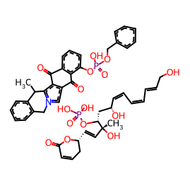 CC1c2ccccc2Cn2cc3c(c21)C(=O)c1cccc(OP(=O)(O)OCc2ccccc2)c1C3=O.C[C@@](O)(/C=C/[C@@H]1CC=CC(=O)O1)[C@@H](C[C@@H](O)\C=C/C=C\C=C\CO)OP(=O)(O)O